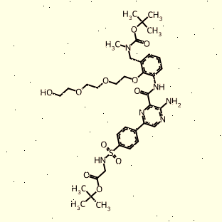 CN(Cc1cccc(NC(=O)c2nc(-c3ccc(S(=O)(=O)NCC(=O)OC(C)(C)C)cc3)cnc2N)c1OCCOCCOCCO)C(=O)OC(C)(C)C